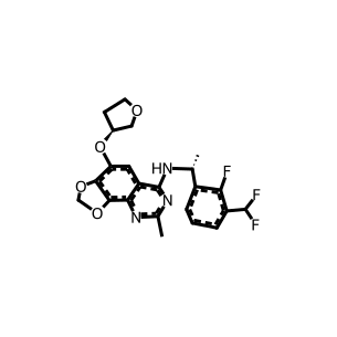 Cc1nc(N[C@H](C)c2cccc(C(F)F)c2F)c2cc(O[C@H]3CCOC3)c3c(c2n1)OCO3